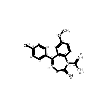 COc1ccc2c(c1)C(c1ccc(Cl)cc1)=NCC(=N)N2C(C)=N